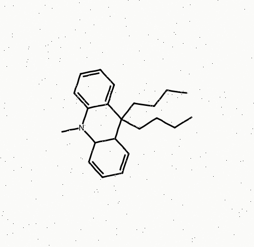 CCCCC1(CCCC)c2ccccc2N(C)C2C=CC=CC21